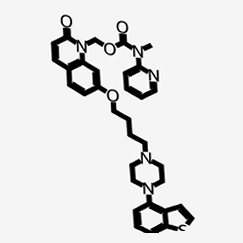 CN(C(=O)OCn1c(=O)ccc2ccc(OCCCCN3CCN(c4cccc5sccc45)CC3)cc21)c1ccccn1